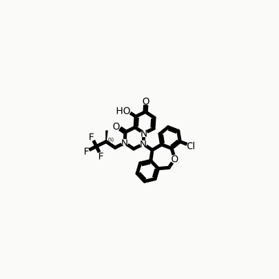 C[C@@H](CN1CN(C2c3ccccc3COc3c(Cl)cccc32)n2ccc(=O)c(O)c2C1=O)C(F)(F)F